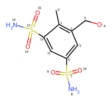 Cc1c(C[O])cc(S(N)(=O)=O)cc1S(N)(=O)=O